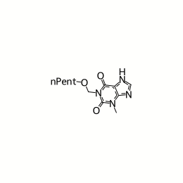 CCCCCOCn1c(=O)c2[nH]cnc2n(C)c1=O